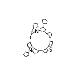 c1ccc(-c2cc3cc(c2)n2c4ccccc4c4cc(ccc42)c2ccc4c(c2)c2cc(ccc2n4-c2ccccc2)c2ccc4sc5ccc(cc5c4c2)c2cccc3c2)cc1